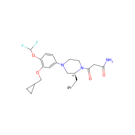 CC(C)C[C@H]1CN(c2ccc(OC(F)F)c(OCC3CC3)c2)CCN1C(=O)CC(N)=O